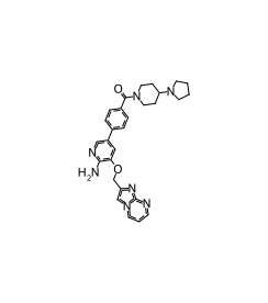 Nc1ncc(-c2ccc(C(=O)N3CCC(N4CCCC4)CC3)cc2)cc1OCc1cn2cccnc2n1